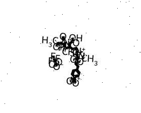 C[C@@H](O)[C@H]1C(=O)N2C(C(=O)O)=C(c3c[n+]4cn(C)c(S(=O)(=O)CCc5ccc([N+](=O)[O-])cc5)c4s3)[C@H](C)[C@H]12.O=S(=O)([O-])C(F)(F)F